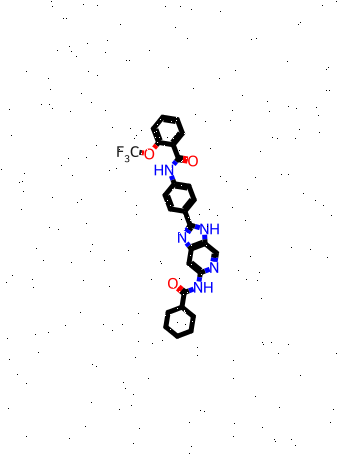 O=C(Nc1ccc(-c2nc3cc(NC(=O)C4CCCCC4)ncc3[nH]2)cc1)c1ccccc1OC(F)(F)F